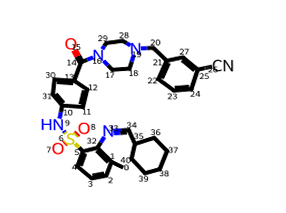 Cc1cccc(S(=O)(=O)Nc2ccc(C(=O)N3CCN(Cc4cccc(C#N)c4)CC3)cc2)c1/N=C\C1CCCCC1